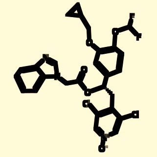 O=C(Cn1cnc2ccccc21)O[C@@H](Cc1c(Cl)c[n+]([O-])cc1Cl)c1ccc(OC(F)F)c(OCC2CC2)c1